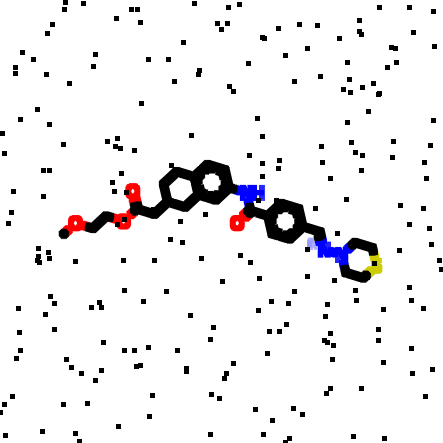 COCCOC(=O)CC1CCc2ccc(NC(=O)c3ccc(/C=N/N4CCSCC4)cc3)cc2C1